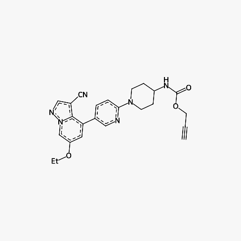 C#CCOC(=O)NC1CCN(c2ccc(-c3cc(OCC)cn4ncc(C#N)c34)cn2)CC1